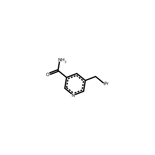 CC(C)Cc1cncc(C(N)=O)c1